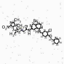 Cc1nc([N+](=O)[O-])c(C[N+](C)(C)C/C=C/C(=O)Nc2cc3c(Nc4ccc(OCc5ccccn5)c(Cl)c4)ncnc3cn2)n1C.[Br-]